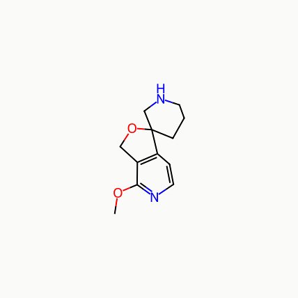 COc1nccc2c1COC21CCCNC1